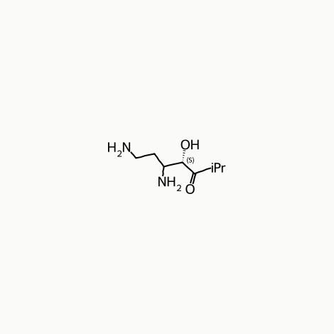 CC(C)C(=O)[C@@H](O)C(N)CCN